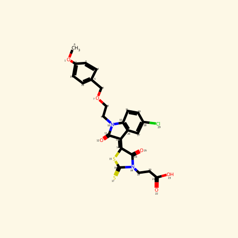 COc1ccc(COCCN2C(=O)/C(=C3\SC(=S)N(CCC(=O)O)C3=O)c3cc(Cl)ccc32)cc1